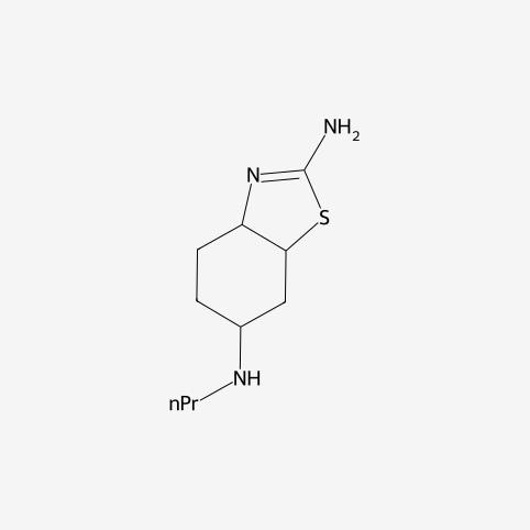 CCCNC1CCC2N=C(N)SC2C1